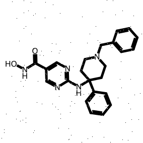 O=C(NO)c1cnc(NC2(c3ccccc3)CCN(Cc3ccccc3)CC2)nc1